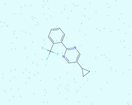 FC(F)(F)c1ccccc1-c1ncc(C2CC2)cn1